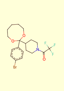 O=C(N1CCC(C2(c3ccc(Br)cc3)OCCCCCO2)CC1)C(F)(F)F